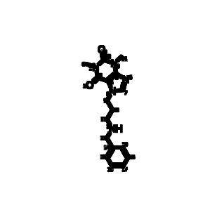 Cn1c(=O)c2c(ncn2CCCNCc2ccccc2)n(C)c1=O